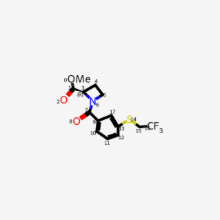 COC(=O)[C@H]1CCN1C(=O)c1cccc(SCC(F)(F)F)c1